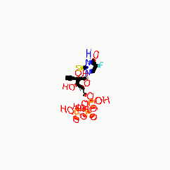 C#C[C@@]1(O)C(O)[C@@H](COP(=O)(O)OP(=O)(O)OP(=O)(O)O)O[C@H]1n1cc(F)c(=O)[nH]c1=S